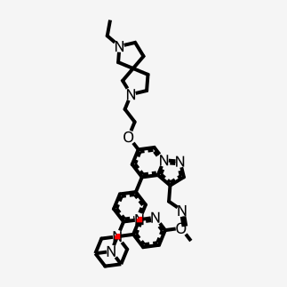 C=NCc1cnn2cc(OCCN3CCC4(CCN(CC)C4)C3)cc(-c3ccc(N4CC5CC(C4)N5Cc4ccc(OC)nc4)nc3)c12